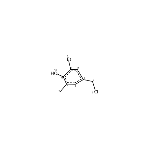 CCc1cc(CCl)cc(C)c1O